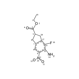 CCOC(=O)C1Cc2cc([N+](=O)[O-])c(N)c(F)c2C1